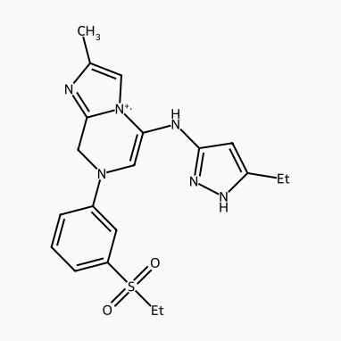 CCc1cc(NC2=CN(c3cccc(S(=O)(=O)CC)c3)CC3=NC(C)=C[N+]23)n[nH]1